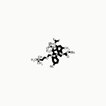 Cc1cc(OC(F)F)c(C(C)(N[S+]([O-])C(C)(C)C)c2nc3ccc(C#N)cc3n2COCC[Si](C)(C)C)c2ccn(C(=O)OC(C)(C)C)c12